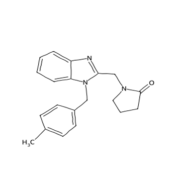 Cc1ccc(Cn2c(CN3CCCC3=O)nc3ccccc32)cc1